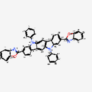 c1ccc(-n2c3cc(-c4nc5ccccc5o4)ccc3c3cc4c(cc32)c2ccc(-c3nc5ccccc5o3)cc2n4-c2ccccc2)cc1